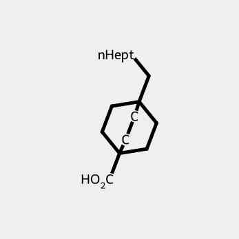 CCCCCCCCC12CCC(C(=O)O)(CC1)CC2